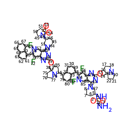 NS(=O)(=O)NC1CCCN(c2nc(OCC34CCCN3CCC4)nc3c(F)c(-c4cccc5c(C6CCC7(COc8nc(N9CCCC(N%10CCCS%10(=O)=O)C9)c9cnc(-c%10cccc%11cccc(F)c%10%11)c(F)c9n8)CCCN67)ccc(F)c45)ncc23)C1